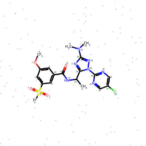 CCS(=O)(=O)c1cc(OC(F)(F)F)cc(C(=O)NC(C)c2nc(N(C)C)nn2-c2ncc(Cl)cn2)c1